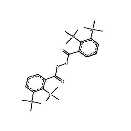 C[Si](C)(C)c1cccc(C(=O)OOC(=O)c2cccc([Si](C)(C)C)c2[Si](C)(C)C)c1[Si](C)(C)C